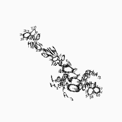 CC(C(=O)NC(Cc1ccc(NC(=O)c2ccc(C(=O)N[C@@H]3CN[C@H](C(=O)N[C@@H]4CCCc5ccccc54)C3)cc2)cc1)C(=O)N1C[Si](C)(C)CC1C(=O)N[C@@H]1CCCc2ccccc21)N(C)C(=O)O